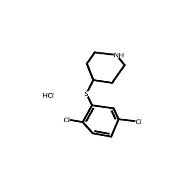 Cl.Clc1ccc(Cl)c(SC2CCNCC2)c1